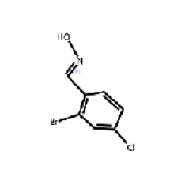 O/N=C/c1ccc(Cl)cc1Br